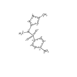 Cc1nnc(N(C)S(=O)(=O)c2ccc([N+](=O)[O-])cc2)s1